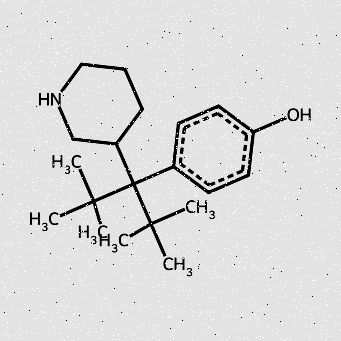 CC(C)(C)C(c1ccc(O)cc1)(C1CCCNC1)C(C)(C)C